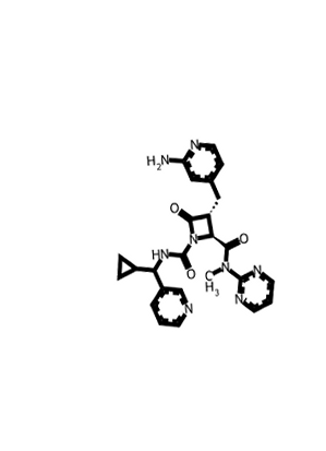 CN(C(=O)[C@@H]1[C@@H](Cc2ccnc(N)c2)C(=O)N1C(=O)NC(c1cccnc1)C1CC1)c1ncccn1